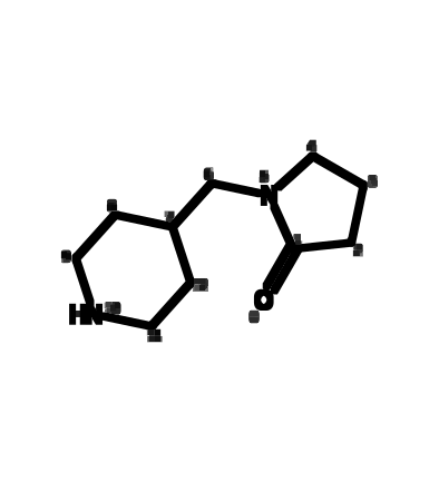 O=C1CCCN1CC1CCNCC1